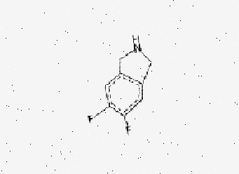 Fc1cc2c(cc1F)CNC2